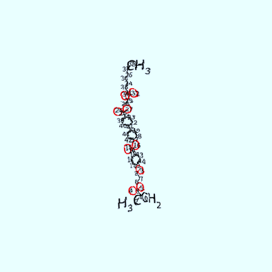 C=C(C)C(=O)OCCCOc1ccc(C(=O)Oc2ccc(-c3ccc(C(=O)OCCOC(=O)CCCCCC)cc3)cc2)cc1